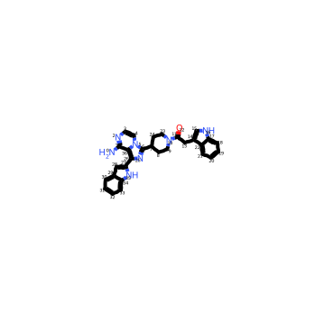 Nc1nccn2c(C3CCN(C(=O)Cc4c[nH]c5ccccc45)CC3)nc(-c3cc4ccccc4[nH]3)c12